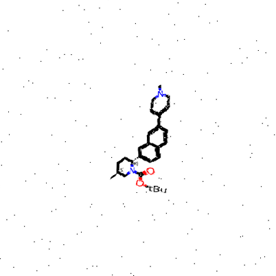 C[C@H]1CC[C@H](c2ccc3ccc(C4=CCN(C)CC4)cc3c2)N(C(=O)OC(C)(C)C)C1